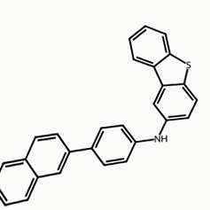 c1ccc2cc(-c3ccc(Nc4ccc5sc6ccccc6c5c4)cc3)ccc2c1